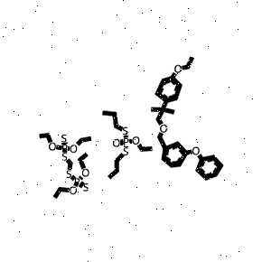 CCCSP(=O)(OCC)SCCC.CCOP(=S)(OCC)SCSP(=S)(OCC)OCC.CCOc1ccc(C(C)(C)COCc2cccc(Oc3ccccc3)c2)cc1